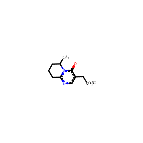 CCOC(=O)Cc1cnc2n(c1=O)C(C)CCC2